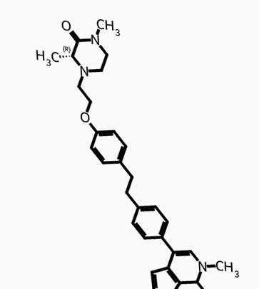 C[C@@H]1C(=O)N(C)CCN1CCOc1ccc(CCc2ccc(C3=CN(C)C(O)c4[nH]ccc43)cc2)cc1